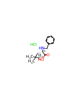 CC(C)(C)C[C@H](NCc1ccccc1)C(=O)O.Cl